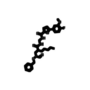 CCCCCC(CN(C=O)OCc1ccccc1)C(=O)NCNC(=O)c1ccc(-c2ccc(F)c(OC)c2)o1